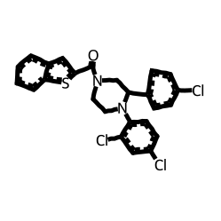 O=C(c1cc2ccccc2s1)N1CCN(c2ccc(Cl)cc2Cl)C(c2ccc(Cl)cc2)C1